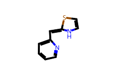 C1=CSC(=Cc2ccccn2)N1